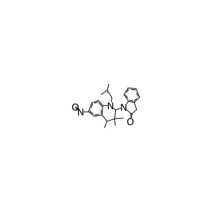 C[C](C)CN1c2ccc(N=O)cc2C(C)C(C)(C)C1N1C(=O)Cc2ccccc21